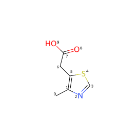 Cc1ncsc1CC(=O)O